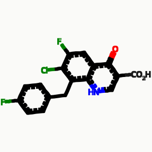 O=C(O)c1c[nH]c2c(Cc3ccc(F)cc3)c(Cl)c(F)cc2c1=O